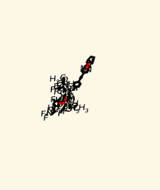 COC(=O)N[C@H](C(=O)N[C@@H](Cc1ccc(C#Cc2cnc(N3CC4CCC(C3)N4C3COC3)nc2)cc1)[C@H](CN(Cc1c(F)cc(-c2ccn(C(F)F)n2)cc1F)NC(=O)[C@@H](NC(=O)OC)C(C)(C)C(F)(F)F)OP(=O)(O)O)C(C)(C)C(F)(F)F